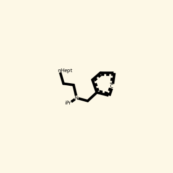 CCCCCCCCCN(Cc1ccccc1)C(C)C